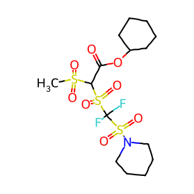 CS(=O)(=O)C(C(=O)OC1CCCCC1)S(=O)(=O)C(F)(F)S(=O)(=O)N1CCCCC1